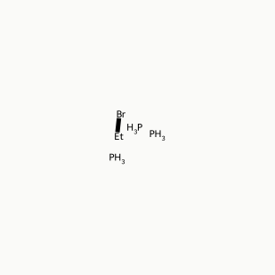 CCBr.P.P.P